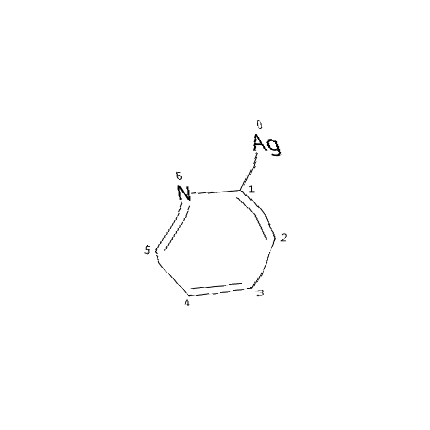 [Ag][c]1ccccn1